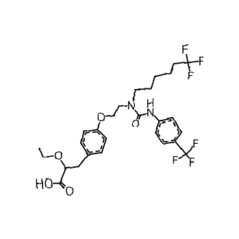 CCOC(Cc1ccc(OCCN(CCCCCC(F)(F)F)C(=O)Nc2ccc(C(F)(F)F)cc2)cc1)C(=O)O